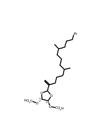 C=C(CCCC(C)CCCC(C)CCCC(C)C)C1O[C@@H](OC(=O)O)[C@H](OC(=O)O)O1